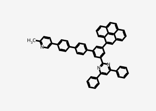 Cc1ccc(-c2ccc(-c3ccc(-c4cc(-c5nc(-c6ccccc6)cc(-c6ccccc6)n5)cc(-c5cc6cccc7ccc8cccc5c8c76)c4)cc3)cc2)cn1